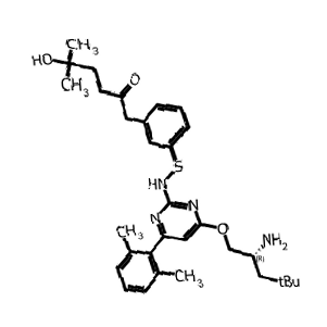 Cc1cccc(C)c1-c1cc(OC[C@H](N)CC(C)(C)C)nc(NSc2cccc(CC(=O)CCC(C)(C)O)c2)n1